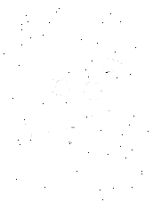 CCn1ccc(-c2cc(-c3cnn(C4COC4)c3)cc([C@@H](C)NC(=O)c3cc(N4C[C@H]5C[C@@H]4CN5C)ccc3C)c2)n1